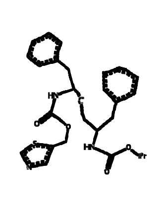 CC(C)OC(=O)NC(CCC(Cc1ccccc1)NC(=O)OCc1cncs1)Cc1ccccc1